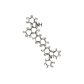 c1ccc(-n2c3ccccc3c3cc(-c4ccc5cc(-c6cc7[nH]c8ccccc8c7c7ccccc67)ccc5c4)ccc32)cc1